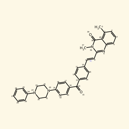 Cc1cccc2nc(/C=C/c3ccc(C(=O)c4ccc(N5CCN(c6ccccc6)CC5)nc4)cc3)n(C)c(=O)c12